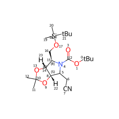 CC(C)(C)OC(=O)N1C(CC#N)[C@@H]2OC(C)(C)O[C@@H]2[C@H]1CO[Si](C)(C)C(C)(C)C